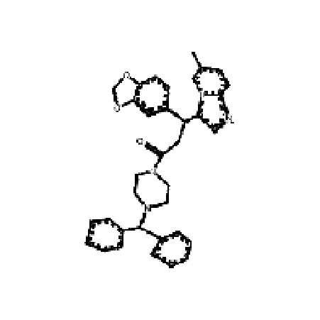 Cc1ccc2ncc(C(CC(=O)N3CCN(C(c4ccccc4)c4ccccc4)CC3)c3ccc4c(c3)OCO4)n2c1